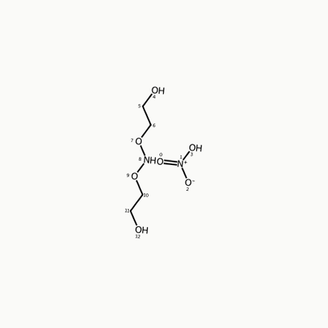 O=[N+]([O-])O.OCCONOCCO